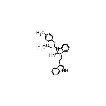 COC[C@H](Cc1ccc(C)cc1)n1c(=N)n(CCc2c[nH]c3ccccc23)c2ccccc21